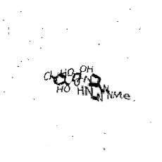 CN/N=c1\nc[nH]c2c1ccn2[C@@H]1O[C@H](C(O)c2ccc(Cl)cc2)[C@@H](O)[C@H]1O